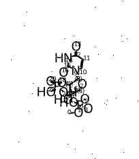 COP(=O)(O)O[C@H]1O[C@@H](n2ccc(=O)[nH]c2=O)[C@H](OP(=O)(O)O)[C@H]1O